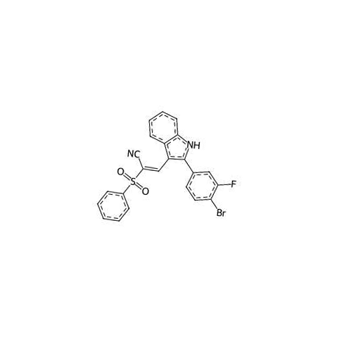 N#C/C(=C\c1c(-c2ccc(Br)c(F)c2)[nH]c2ccccc12)S(=O)(=O)c1ccccc1